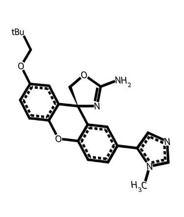 Cn1cncc1-c1ccc2c(c1)[C@]1(COC(N)=N1)c1cc(OCC(C)(C)C)ccc1O2